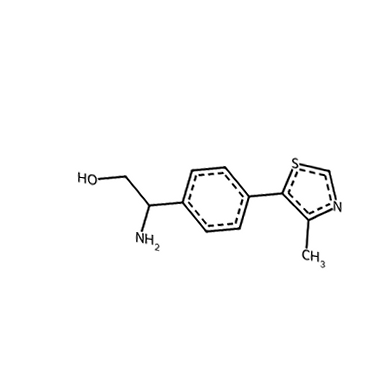 Cc1ncsc1-c1ccc(C(N)CO)cc1